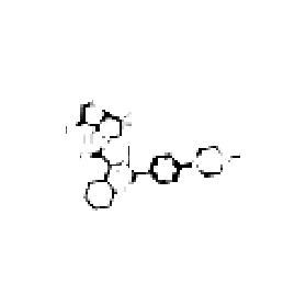 C[C@H]1CN(C(=O)[C@@H](NC(=O)c2ccc(N3CCN(C)CC3)cc2)C2CCCCC2)[C@@H]2C(=O)CO[C@@H]21